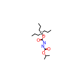 CCC[Si](CCC)(CCC)OC(=O)N=NC(=O)OC(C)C